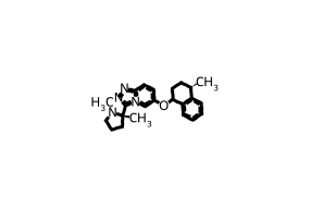 C[C@H]1CCC(Oc2ccc3nnc([C@]4(C)CCCN4C)n3c2)c2ccccc21